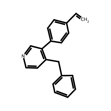 C=Cc1ccc(-c2cnccc2Cc2ccccc2)cc1